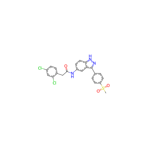 CS(=O)(=O)c1ccc(-c2n[nH]c3ccc(NC(=O)Cc4ccc(Cl)cc4Cl)cc23)cc1